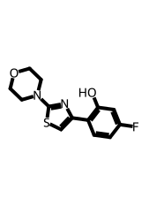 Oc1cc(F)ccc1-c1csc(N2CCOCC2)n1